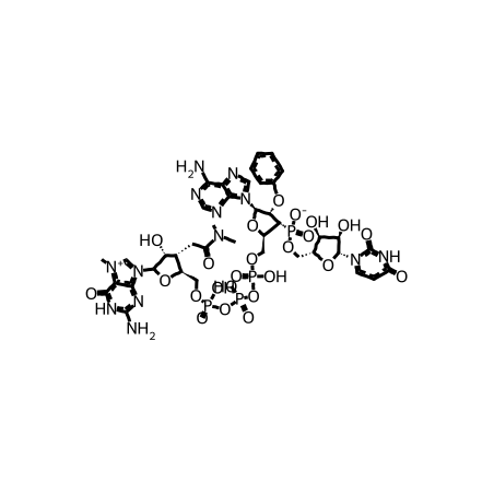 CN(C)C(=O)C[C@@H]1[C@@H](COP(=O)(O)OP(=O)(O)OP(=O)(O)OC[C@H]2O[C@@H](n3cnc4c(N)ncnc43)[C@H](Oc3ccccc3)[C@@H]2P(=O)([O-])OC[C@H]2O[C@@H](n3ccc(=O)[nH]c3=O)[C@H](O)[C@@H]2O)OC(n2c[n+](C)c3c(=O)[nH]c(N)nc32)[C@@H]1O